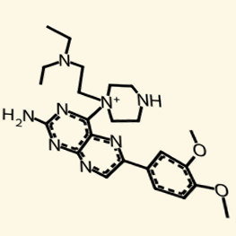 CCN(CC)CC[N+]1(c2nc(N)nc3ncc(-c4ccc(OC)c(OC)c4)nc23)CCNCC1